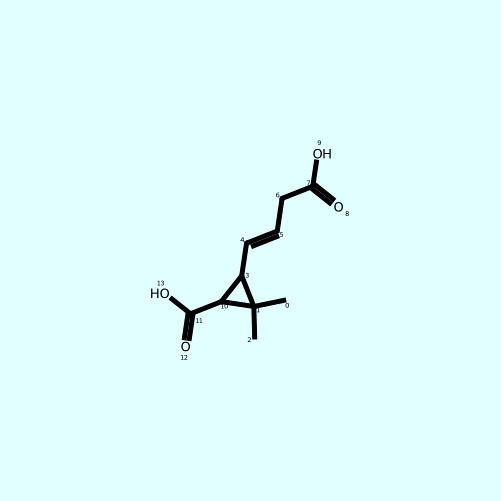 CC1(C)C(C=CCC(=O)O)C1C(=O)O